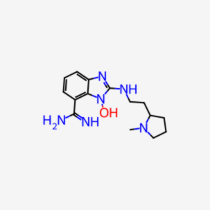 CN1CCCC1CCNc1nc2cccc(C(=N)N)c2n1O